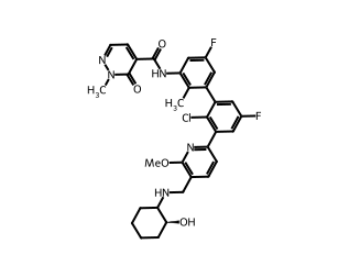 COc1nc(-c2cc(F)cc(-c3cc(F)cc(NC(=O)c4ccnn(C)c4=O)c3C)c2Cl)ccc1CNC1CCCC[C@@H]1O